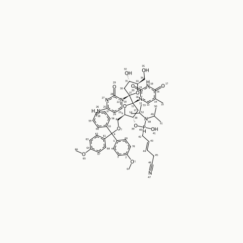 COc1ccc(C(OC[C@H]2O[C@](n3cc(C)c(=O)[nH]c3=O)([C@]3(n4ccc(N)nc4=O)C[C@H](O)[C@@H](CO)O3)C[C@@H]2O[PH](O)(CC=CCC#N)N(C(C)C)C(C)C)(c2ccccc2)c2ccc(OC)cc2)cc1